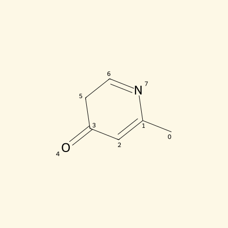 CC1=CC(=O)CC=N1